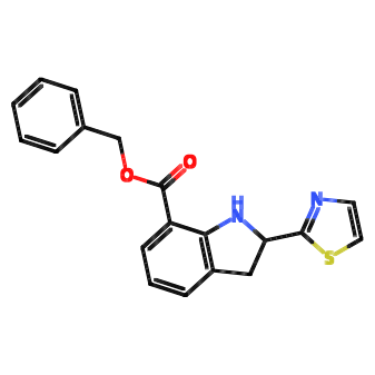 O=C(OCc1ccccc1)c1cccc2c1NC(c1nccs1)C2